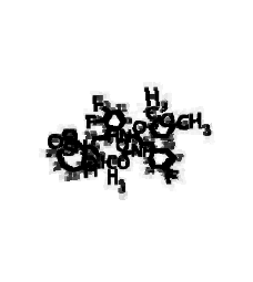 COC(=O)N[C@H](C(=O)Nc1ccc(F)c(F)c1CC[C@H]1CN[C@@H]2CCCS(=O)(=O)N1C2)[C@@H](c1ccc(F)cc1)C1C[C@@H](C)O[C@@H](C)C1